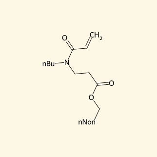 C=CC(=O)N(CCCC)CCC(=O)OCCCCCCCCCC